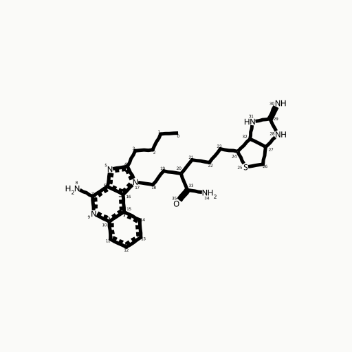 CCCCc1nc2c(N)nc3ccccc3c2n1CCC(CCCC1SCC2NC(=N)NC21)C(N)=O